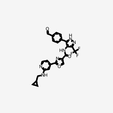 O=Cc1ccc(-c2[nH]nc(C(F)(F)F)c2NC(=O)c2coc(-c3ccnc(NCC4CC4)c3)n2)cc1